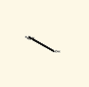 CCCCCCCCCCCCCCCCCCCCCCCCCCCCCCCCCCNNNN